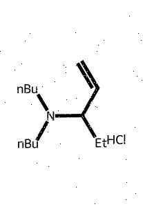 C=CC(CC)N(CCCC)CCCC.Cl